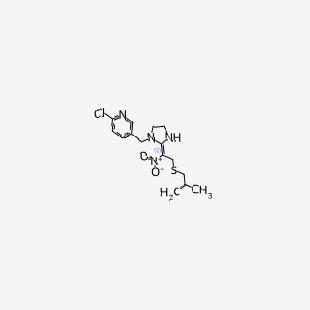 C=C(C)CSC/C(=C1\NCCN1Cc1ccc(Cl)nc1)[N+](=O)[O-]